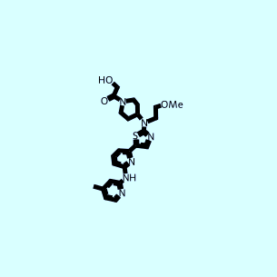 COCCN(c1ncc(-c2cccc(Nc3cc(C)ccn3)n2)s1)C1CCN(C(=O)CO)CC1